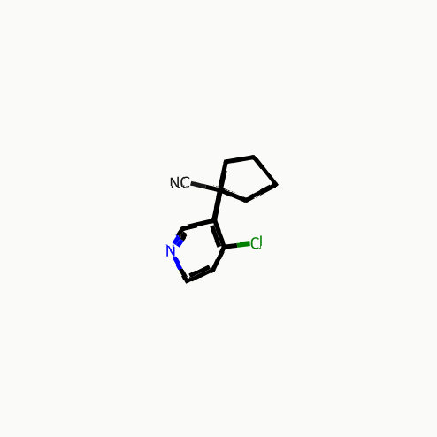 N#CC1(c2cnccc2Cl)CCCC1